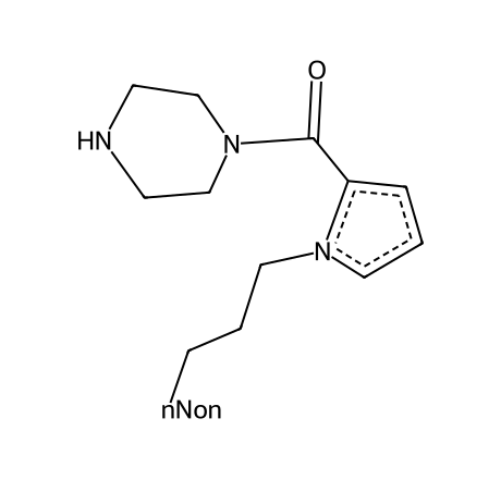 CCCCCCCCCCCCn1cccc1C(=O)N1CCNCC1